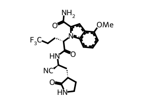 COc1cccc2c1cc(C(N)=O)n2[C@@H](CCC(F)(F)F)C(=O)N[C@H](C#N)C[C@@H]1CCNC1=O